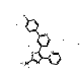 Nc1nc(-c2ccccn2)c(-c2ccnc(-c3ccc(F)cc3)c2)s1